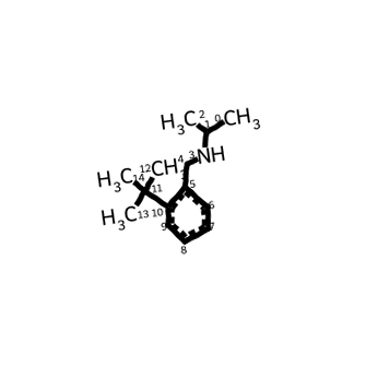 CC(C)NCc1ccccc1C(C)(C)C